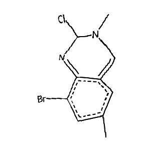 Cc1cc(Br)c2c(c1)=CN(C)C(Cl)N=2